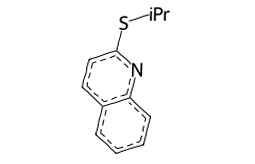 CC(C)Sc1ccc2ccccc2n1